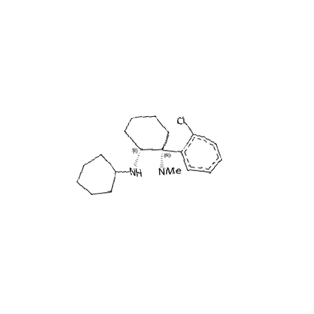 CN[C@@]1(c2ccccc2Cl)CCCC[C@H]1NC1CCCCC1